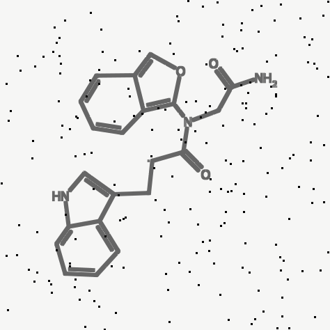 NC(=O)CN(C(=O)[CH]Cc1c[nH]c2ccccc12)c1occ2ccccc12